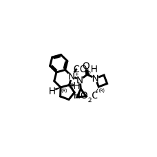 O=C(O)[C@H]1CCN1C(=O)N(C1CC1)[N+]1(C(=O)O)c2ccccc2C[C@H]2CCC[C@H]21